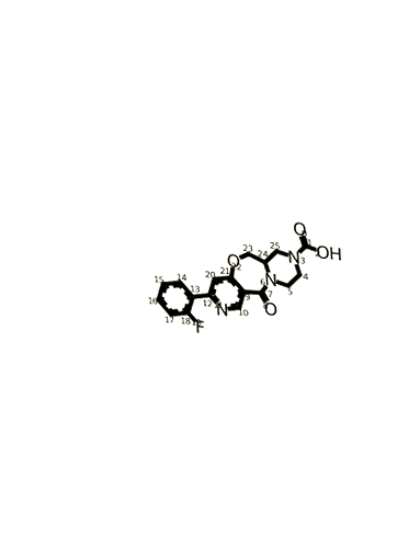 O=C(O)N1CCN2C(=O)c3cnc(-c4ccccc4F)cc3OCC2C1